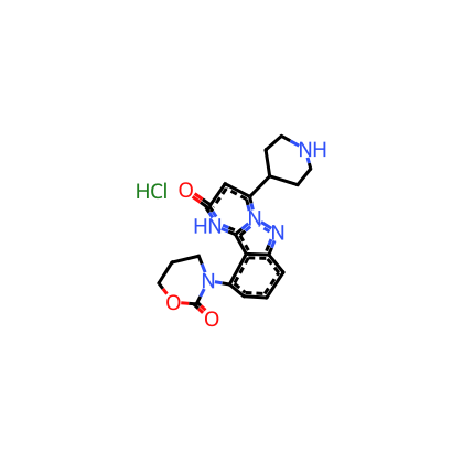 Cl.O=C1OCCCN1c1cccc2nn3c(C4CCNCC4)cc(=O)[nH]c3c12